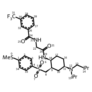 CSc1ccc(S(=O)(=O)C[C@@H]2C[C@H](N(CC(C)C)C(C)C)CC[C@@H]2NC(=O)CNC(=O)c2cccc(C(F)(F)F)c2)cc1